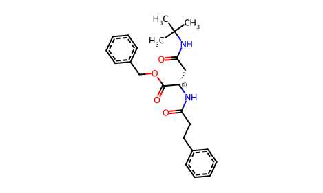 CC(C)(C)NC(=O)C[C@H](NC(=O)CCc1ccccc1)C(=O)OCc1ccccc1